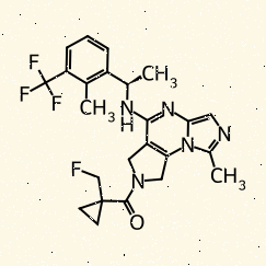 Cc1c([C@@H](C)Nc2nc3cnc(C)n3c3c2CN(C(=O)C2(CF)CC2)C3)cccc1C(F)(F)F